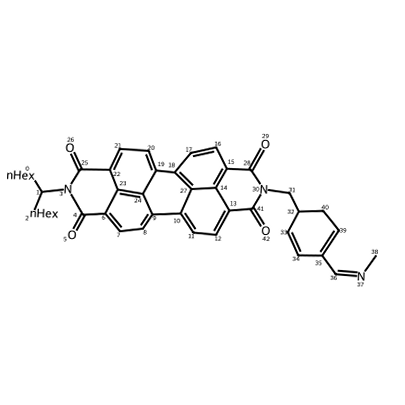 CCCCCCC(CCCCCC)N1C(=O)c2ccc3c4ccc5c6c(ccc(c7ccc(c2c37)C1=O)c64)C(=O)N(CC1C=CC(/C=N\C)=CC1)C5=O